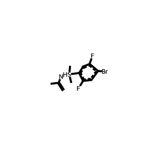 C=C(C)N=[SH](C)(C)c1cc(F)c(Br)cc1F